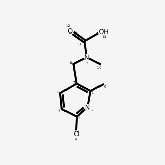 Cc1nc(Cl)ccc1CN(C)C(=O)O